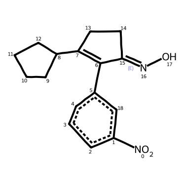 O=[N+]([O-])c1cccc(C2=C(C3CCCC3)CC/C2=N\O)c1